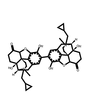 C[N+]1(CC2CC2)CC[C@]23c4c5cc(-c6cc7c8c(c6O)OC6C(=O)CC[C@@]9(O)[C@@H](C7)[N+](C)(CC7CC7)CC[C@]869)c(O)c4OC2C(=O)CC[C@@]3(O)[C@H]1C5